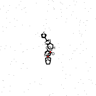 O=C(O)c1ccc(N2C3CCC2CN(CC(=O)N2CCc4nc(-c5ccsc5)sc4C2)C3)nc1